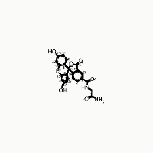 NC(=O)CNC(=O)c1ccc2c(c1)C(=O)OC21c2ccc(O)cc2Oc2cc(O)ccc21